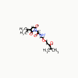 CC(C)C(=O)CCOCCNC(=O)CN1C(=O)CC(C(C)C)C1=O